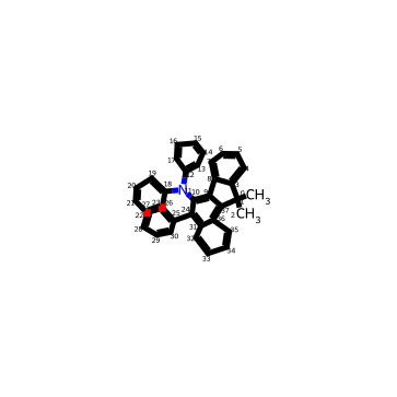 CC1(C)c2ccccc2-c2c(N(c3ccccc3)c3ccccc3)c(-c3ccccc3)c3ccccc3c21